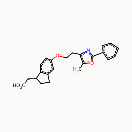 Cc1oc(-c2ccccc2)nc1CCOc1ccc2c(c1)CC[C@H]2CC(=O)O